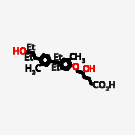 CCC(O)(CC)CCc1ccc(C(CC)(CC)c2ccc(OCC(O)CCCC(=O)O)c(C)c2)cc1C